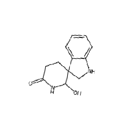 O=C1CCC2(CNc3ccccc32)C(O)N1